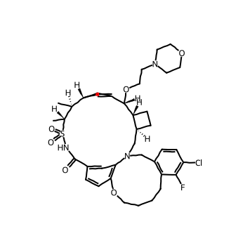 C[C@@H]1[C@@H](C)S(=O)(=O)NC(=O)c2ccc3c(c2)N(Cc2ccc(Cl)c(F)c2CCCCO3)C[C@@H]2CC[C@H]2[C@@H](OCCN2CCOCC2)C2=C[C@H]1C2